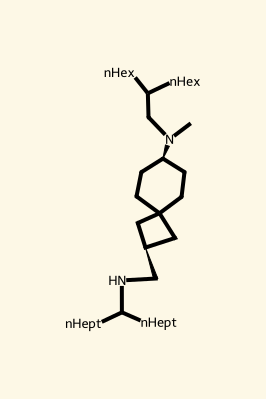 CCCCCCCC(CCCCCCC)NC[C@H]1CC2(CC[C@H](N(C)CC(CCCCCC)CCCCCC)CC2)C1